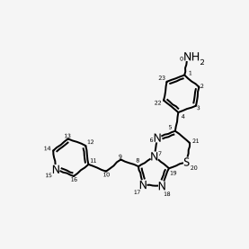 Nc1ccc(C2=Nn3c(CCc4cccnc4)nnc3SC2)cc1